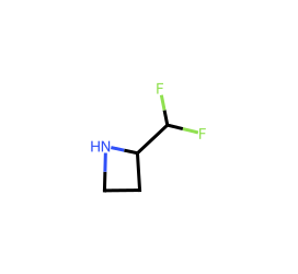 FC(F)C1CCN1